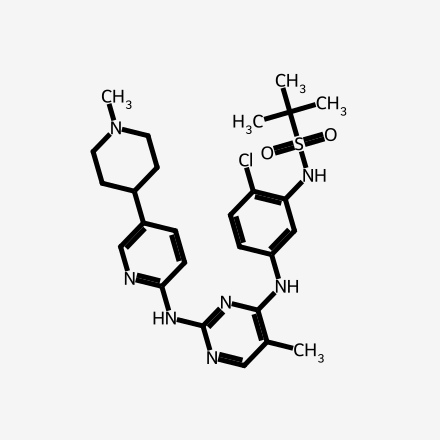 Cc1cnc(Nc2ccc(C3CCN(C)CC3)cn2)nc1Nc1ccc(Cl)c(NS(=O)(=O)C(C)(C)C)c1